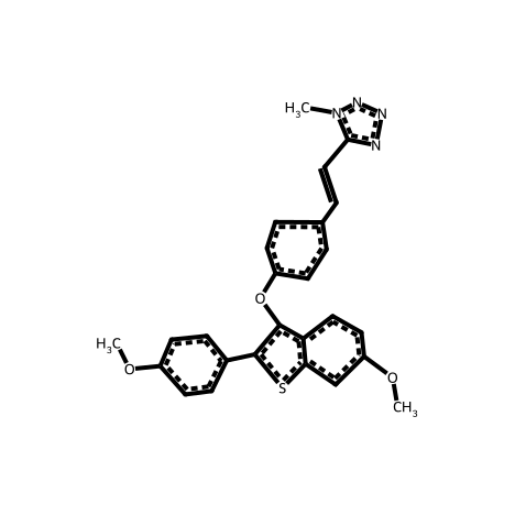 COc1ccc(-c2sc3cc(OC)ccc3c2Oc2ccc(C=Cc3nnnn3C)cc2)cc1